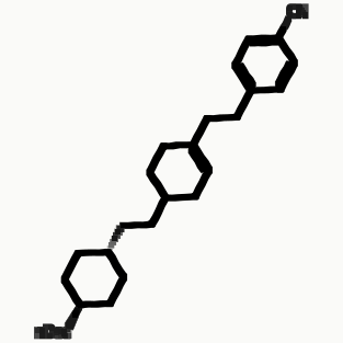 CCCCCCCCCC[C@H]1CC[C@H](CCC2CC=C(CCc3ccc(C#N)cc3)CC2)CC1